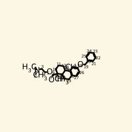 CN(C)CCOC(=O)[C@]1(C)CCC[C@]2(C)c3cc(OCc4ccccc4)ccc3CC[C@@H]12